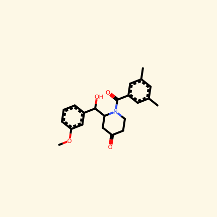 COc1cccc(C(O)C2CC(=O)CCN2C(=O)c2cc(C)cc(C)c2)c1